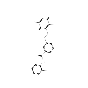 Cc1ccccc1NC(=O)c1cccc(CCC2=C(O)C(=O)C=C(O)C2=O)c1